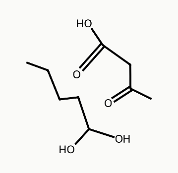 CC(=O)CC(=O)O.CCCCC(O)O